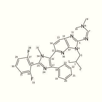 CC(C)Cn1c(/N=C\N(C)C)nc2ccc(-c3c(-c4ccccc4)nc(-c4c(F)cccc4F)n3C)nc21